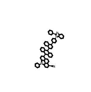 N#Cc1ccc2c3c1ccc1c(-c4c5ccccc5c(-c5ccc(-c6ccc(-n7c(-c8ccccc8)nc8ccccc87)cc6)c6ccccc56)c5ccccc45)ccc(c13)n2-c1ccccc1